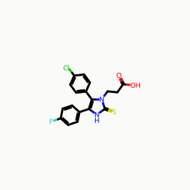 O=C(O)CCn1c(-c2ccc(Cl)cc2)c(-c2ccc(F)cc2)[nH]c1=S